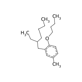 CCCCOc1ccc(C)cc1CC(CC)CCCC